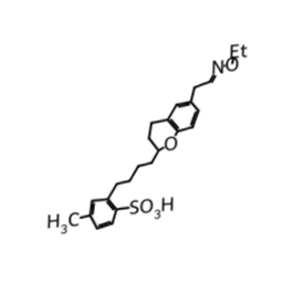 CCON=CCc1ccc2c(c1)CCC(CCCCc1cc(C)ccc1S(=O)(=O)O)O2